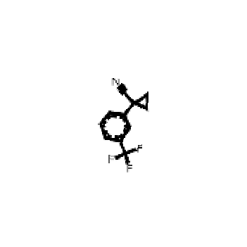 N#CC1(c2cccc(C(F)(F)F)c2)CC1